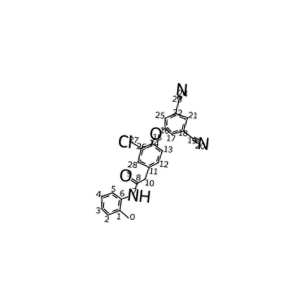 Cc1ccccc1NC(=O)Cc1ccc(Oc2cc(C#N)cc(C#N)c2)c(Cl)c1